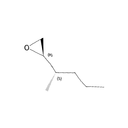 CCC[C@H](C)[C@@H]1CO1